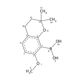 COc1ccc2c(c1B(O)O)OC(C)(C)CC2